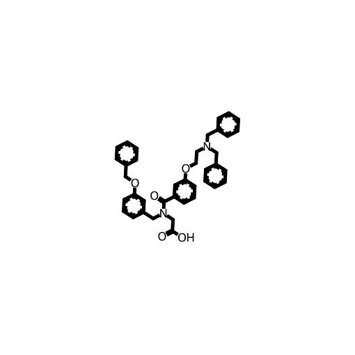 O=C(O)CN(Cc1cccc(OCc2ccccc2)c1)C(=O)c1cccc(OCCN(Cc2ccccc2)Cc2ccccc2)c1